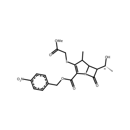 COC(=O)CSC1=C(C(=O)OCc2ccc([N+](=O)[O-])cc2)N2C(=O)C([C@@H](C)O)C2C1C